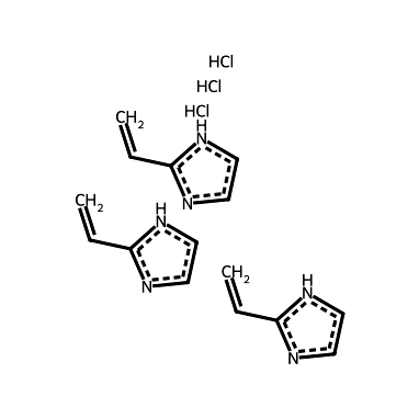 C=Cc1ncc[nH]1.C=Cc1ncc[nH]1.C=Cc1ncc[nH]1.Cl.Cl.Cl